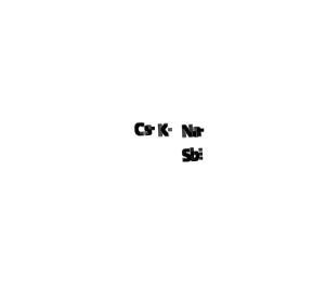 [Cs].[K].[Na].[Sb]